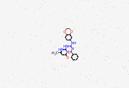 Cc1cc(=O)nc(N/C(=N\C(=O)c2ccccc2)Nc2ccc3c(c2)OCCO3)[nH]1